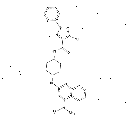 Cc1nn(-c2ccccc2)nc1C(=O)N[C@H]1CC[C@@H](Nc2cc(N(C)C)c3ccccc3n2)CC1